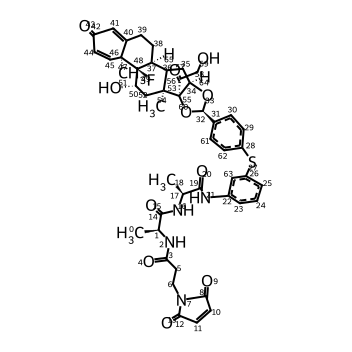 C[C@H](NC(=O)CCN1C(=O)C=CC1=O)C(=O)N[C@@H](C)C(=O)Nc1cccc(Sc2ccc([C@@H]3O[C@@H]4CC5[C@@H]6CCC7=CC(=O)C=C[C@]7(C)[C@@]6(F)[C@@H](O)C[C@]5(C)[C@]4(C(=O)CO)O3)cc2)c1